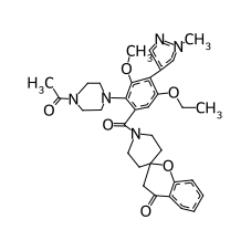 CCOc1cc(C(=O)N2CCC3(CC2)CC(=O)c2ccccc2O3)c(N2CCN(C(C)=O)CC2)c(OC)c1-c1cnn(C)c1